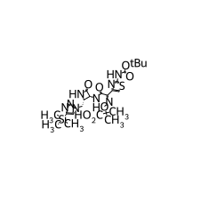 CC(C)(C)OC(=O)Nc1nc(C(=NOC(C)(C)C(=O)O)C(=O)N[C@@H]2C(=O)N[C@H]2Cn2cc([Si](C)(C)C)nn2)cs1